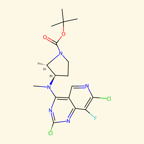 C[C@H]1[C@H](N(C)c2nc(Cl)nc3c(F)c(Cl)ncc23)CCN1C(=O)OC(C)(C)C